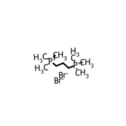 C[P+](C)(C)CCC[P+](C)(C)C.[Br-].[Br-]